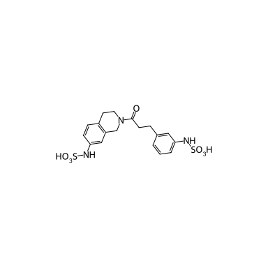 O=C(CCc1cccc(NS(=O)(=O)O)c1)N1CCc2ccc(NS(=O)(=O)O)cc2C1